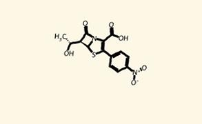 C[C@@H](O)[C@H]1C(=O)N2C(C(=O)O)=C(c3ccc([N+](=O)[O-])cc3)SC12